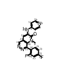 Cn1c(=O)c(Nc2ccncc2)cc2cnnc(-c3ccc(F)cc3F)c21